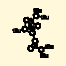 CC(C)(C)c1cc(-n2c3[n+]4c5c(cccc52)-c2cc(C(C)(C)C)cc5c2[N+]4(Oc2ccccc2-3)[n+]2ccc(-c3ccc4c(c3)c3ccccc3n4-c3cc(C(C)(C)C)cc(C(C)(C)C)c3)cc2-5)cc(C(C)(C)C)c1